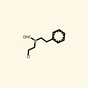 O=CN(CCCl)CCc1ccccc1